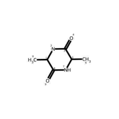 CC1[N]C(=O)C(C)NC1=O